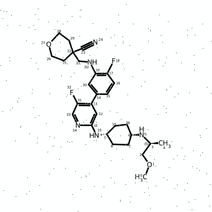 COC[C@H](C)N[C@H]1CC[C@H](Nc2cc(-c3ccc(F)c(NCC4(C#N)CCOCC4)c3)c(F)cn2)CC1